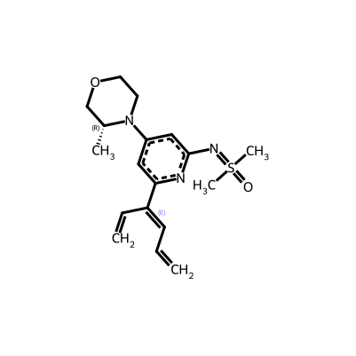 C=C/C=C(\C=C)c1cc(N2CCOC[C@H]2C)cc(N=S(C)(C)=O)n1